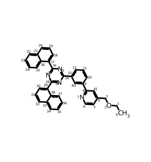 CCOCc1ccnc(-c2cccc(-c3nc(-c4cccc5ccccc45)nc(-c4cccc5ccccc45)n3)c2)c1